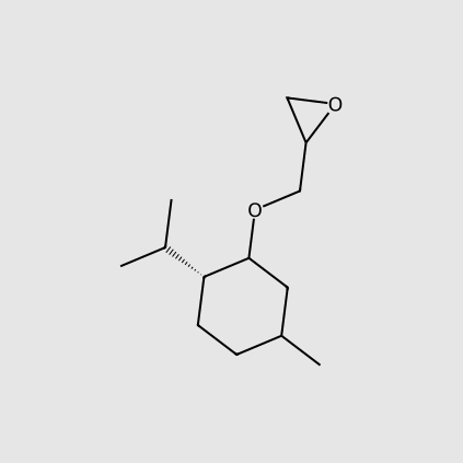 CC1CC[C@H](C(C)C)C(OCC2CO2)C1